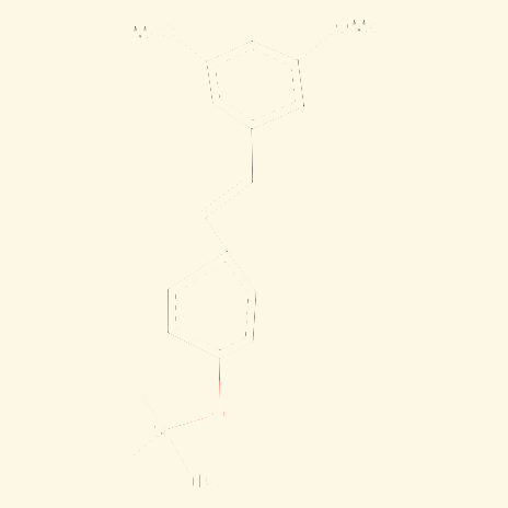 COc1cc(/C=C/c2ccc(O[Si](C)(C)C(C)(C)C)cc2)cc(OC)c1